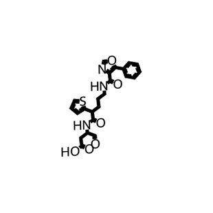 O=CC(CC(=O)O)NC(=O)C(CCCNC(=O)c1ncoc1-c1ccccc1)c1cccs1